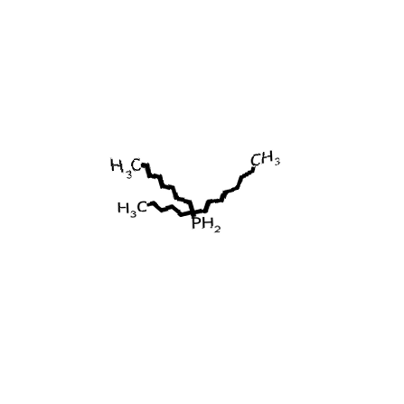 CCCCCCCCC(P)(CCCCC)CCCCCCCC